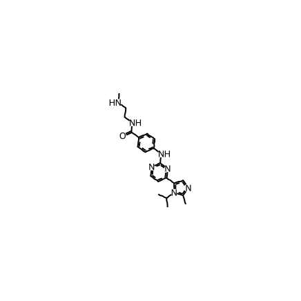 CNCCNC(=O)c1ccc(Nc2nccc(-c3cnc(C)n3C(C)C)n2)cc1